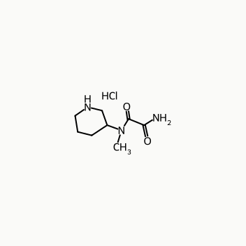 CN(C(=O)C(N)=O)C1CCCNC1.Cl